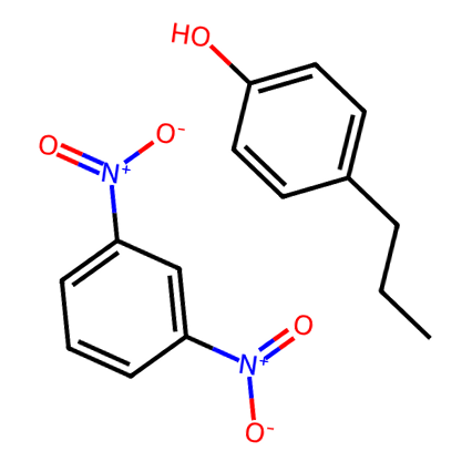 CCCc1ccc(O)cc1.O=[N+]([O-])c1cccc([N+](=O)[O-])c1